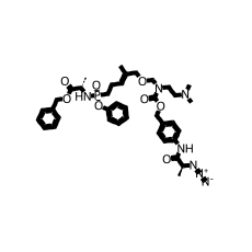 C/C(=C\CCP(=O)(N[C@@H](C)C(=O)OCc1ccccc1)Oc1ccccc1)COCN(CCN(C)C)C(=O)OCc1ccc(NC(=O)[C@H](C)N=[N+]=[N-])cc1